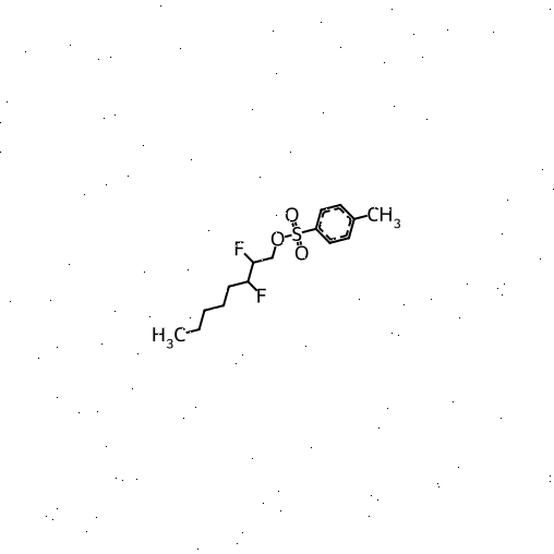 CCCCCC(F)C(F)COS(=O)(=O)c1ccc(C)cc1